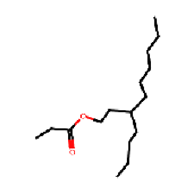 CCCCCCC(CCCC)CCOC(=O)CC